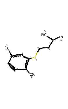 N#Cc1ccc(C(F)(F)F)cc1SCCC(C#N)C#N